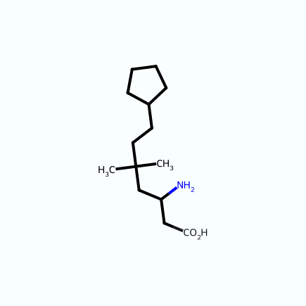 CC(C)(CCC1CCCC1)CC(N)CC(=O)O